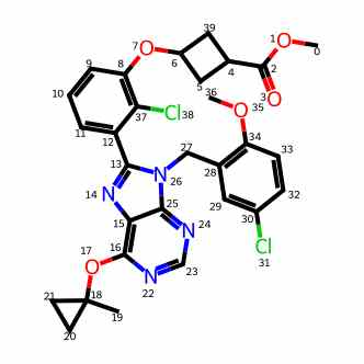 COC(=O)C1CC(Oc2cccc(-c3nc4c(OC5(C)CC5)ncnc4n3Cc3cc(Cl)ccc3OC)c2Cl)C1